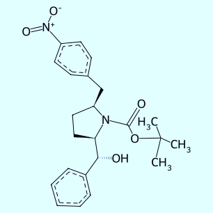 CC(C)(C)OC(=O)N1[C@H](Cc2ccc([N+](=O)[O-])cc2)CC[C@@H]1[C@H](O)c1ccccc1